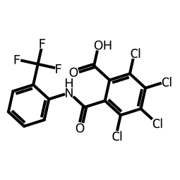 O=C(O)c1c(Cl)c(Cl)c(Cl)c(Cl)c1C(=O)Nc1ccccc1C(F)(F)F